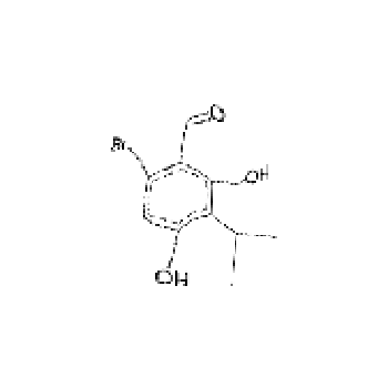 CC(C)c1c(O)cc(Br)c(C=O)c1O